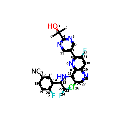 CC(C)(O)c1ncc(-c2nc3c(NC(c4cc(C#N)ccc4F)C(F)F)c(Cl)cnc3cc2F)cn1